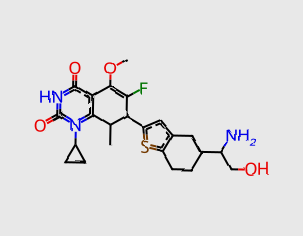 COC1=C(F)C(c2cc3c(s2)CCC(C(N)CO)C3)C(C)c2c1c(=O)[nH]c(=O)n2C1CC1